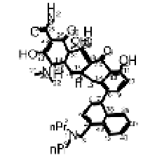 CCCN(CCC)Cc1ccc(-c2ccc(O)c3c2C[C@H]2C[C@H]4[C@H](N(C)C)C(O)=C(C(N)=O)C(=O)[C@@]4(O)C(O)=C2C3=O)c2ccccc12